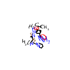 Cc1nc(CN2CCCCC2)sc1-c1csc(Nc2cc(C(N)=O)ccc2OC(C)C)n1